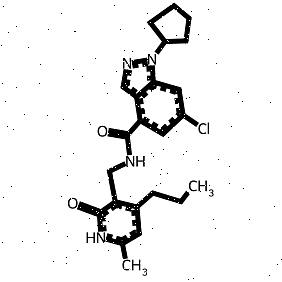 CCCc1cc(C)[nH]c(=O)c1CNC(=O)c1cc(Cl)cc2c1cnn2C1CCCC1